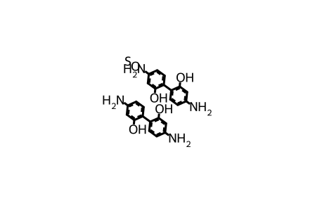 Nc1ccc(-c2ccc(N)cc2O)c(O)c1.Nc1ccc(-c2ccc(N)cc2O)c(O)c1.O=S